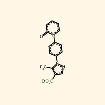 CCOC(=O)c1cnn(-c2ccc(-n3ccccc3=O)cc2)c1C(F)(F)F